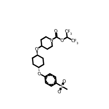 CS(=O)(=O)c1ccc(O[C@H]2CC[C@H](OC3CCN(C(=O)OC(C(F)(F)F)C(F)(F)F)CC3)CC2)cc1